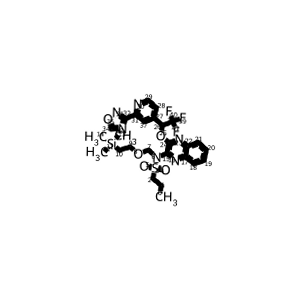 CCCS(=O)(=O)N(COCC[Si](C)(C)C)c1nc2ccccc2nc1OC(c1ccnc(-c2ncon2)c1)C(F)(F)F